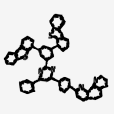 c1ccc(-c2cc(-c3ccc(-c4ccc5ccc6cccnc6c5n4)cc3)nc(-c3cc(-c4cccc5c4sc4ccccc45)cc(-c4cccc5c4sc4ccccc45)c3)n2)cc1